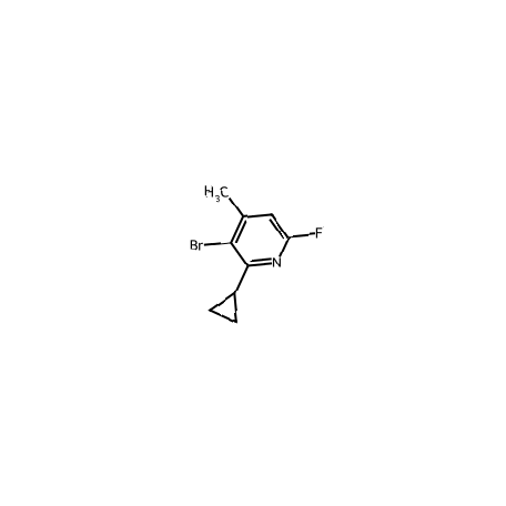 Cc1cc(F)nc(C2CC2)c1Br